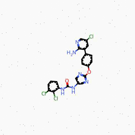 Nc1ncc(Cl)cc1-c1ccc(Oc2ncc(NC(=O)Nc3cccc(Cl)c3Cl)cn2)cc1